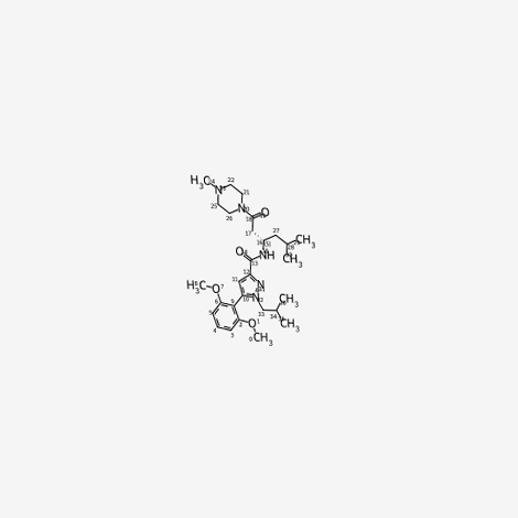 COc1cccc(OC)c1-c1cc(C(=O)N[C@H](CC(=O)N2CCN(C)CC2)CC(C)C)nn1CC(C)C